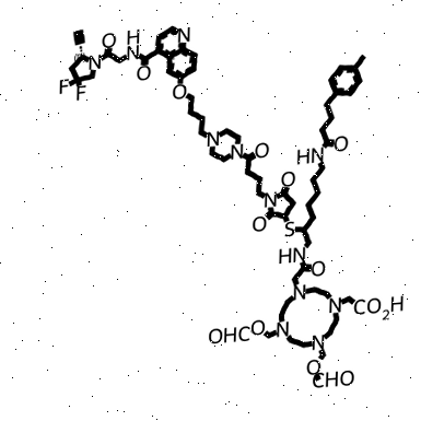 C#C[C@H]1CC(F)(F)CN1C(=O)CNC(=O)c1ccnc2ccc(OCCCCN3CCN(C(=O)CCCN4C(=O)CC(SC(CCCCCNC(=O)CCCc5ccc(C)cc5)CNC(=O)CN5CCN(COC=O)CCN(COC=O)CCN(CC(=O)O)CC5)C4=O)CC3)cc12